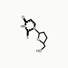 O=c1ccn(C2CCC(CO)O2)c(=S)[nH]1